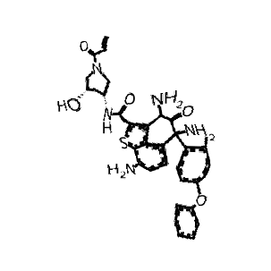 C=CC(=O)N1C[C@@H](O)[C@@H](NC(=O)c2sc3c(N)ccc4c3c2C(N)C(=O)C4(N)c2ccc(Oc3ccccc3)cc2C)C1